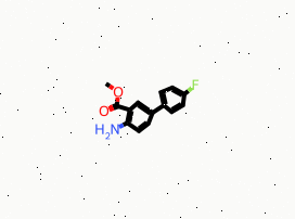 COC(=O)c1cc(-c2ccc(F)cc2)ccc1N